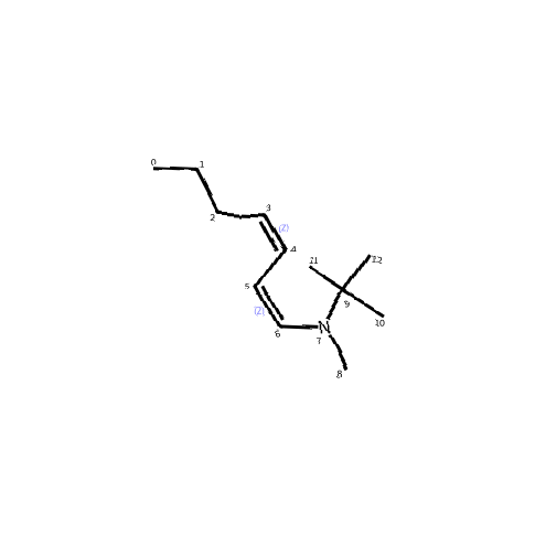 CCC/C=C\C=C/N(C)C(C)(C)C